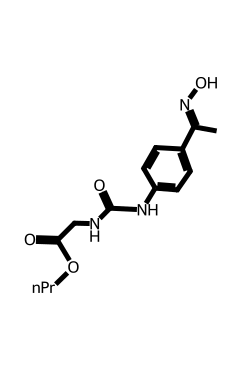 CCCOC(=O)CNC(=O)Nc1ccc(C(C)=NO)cc1